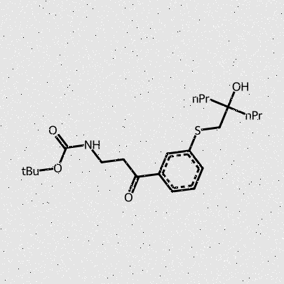 CCCC(O)(CCC)CSc1cccc(C(=O)CCNC(=O)OC(C)(C)C)c1